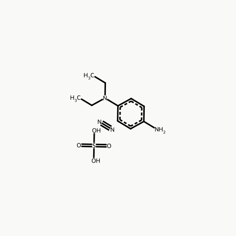 CCN(CC)c1ccc(N)cc1.N#N.O=S(=O)(O)O